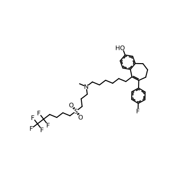 CN(CCCCCCC1=C(c2ccc(F)cc2)CCCc2cc(O)ccc21)CCCS(=O)(=O)CCCCC(F)(F)C(F)(F)F